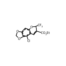 CCOC(=O)C1=Cc2c(cc3c(c2Cl)OCO3)OC1C(F)(F)F